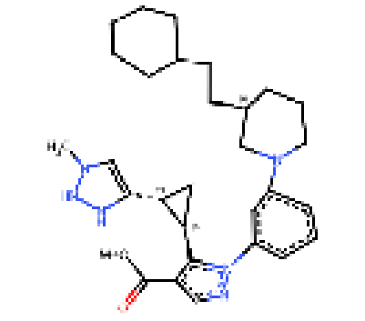 COC(=O)c1cnn(-c2cccc(N3CCC[C@H](CCC4CCCCC4)C3)c2)c1[C@@H]1C[C@H]1C1=CN(C)NN1